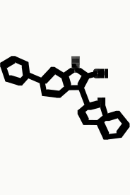 Oc1[nH]c2cc(-c3ccccc3)ccc2c1-c1ccc2ccccc2n1